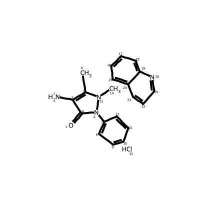 Cc1c(N)c(=O)n(-c2ccccc2)n1C.Cl.c1ccc2ncccc2c1